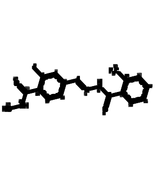 Cc1cc(/C=N/NC(=O)c2ccccc2C(F)(F)F)ccc1C(=O)NO